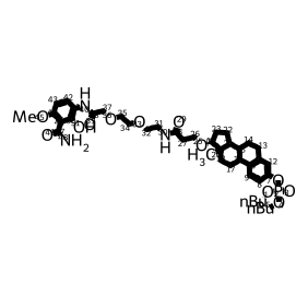 CCCCOP(=O)(OCCCC)Oc1ccc2c(c1)CCC1C2CCC2(C)C1CC[C@H]2OCCC(=O)NCCOCCOCC(=O)Nc1ccc(OC)c(C(N)=O)c1O